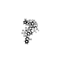 CC[C@H](C)[C@@H]([C@@H](CC(=O)N1CCCC1[C@H](OC)[C@@H](C)C(=O)NC(CO)Cc1ccccc1)OC)N(C)C(=O)C(NC(=O)[C@H]1N[C@@H]2CC[C@H]1C2)C(C)C